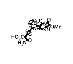 CO[C@H]1C(=O)N2C(C(=O)O)=C(C(NC(=O)C3SC(=C(C(N)=O)C(=O)O)S3)OC(C)=O)CS[C@H]12